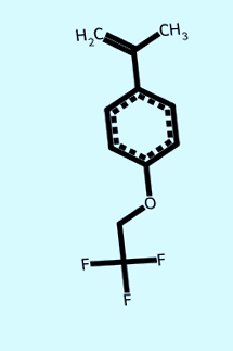 C=C(C)c1ccc(OCC(F)(F)F)cc1